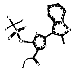 COC(=O)c1sc(-c2c(C)nn3ccccc23)nc1OS(=O)(=O)C(F)(F)F